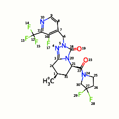 C[C@H]1Cc2nn(Cc3ccnc(C(F)(F)F)c3F)c(=O)n2[C@@H](C(=O)N2CCC(F)(F)C2)C1